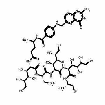 Nc1nc2ncc(CNc3ccc(C(=O)NC(CCC(=O)N[C@H](C(=O)N[C@@H](CC(=O)O)C(=O)N[C@H](C(=O)N[C@H](C(=O)N[C@H](CS)C(=O)O)[C@@H](O)[C@H](O)[C@H](O)CO)[C@@H](O)[C@H](O)[C@H](O)CO)[C@@H](O)[C@H](O)[C@H](O)CO)C(=O)O)cc3)nc2c(=O)[nH]1